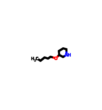 CCCCCOC1CCCNC1